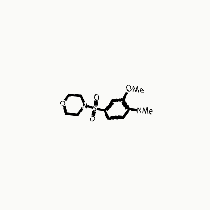 CNc1ccc(S(=O)(=O)N2CCOCC2)cc1OC